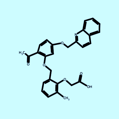 CC(=O)c1ccc(OCc2ccc3ccccc3n2)cc1OCc1cccc(C)c1OCC(=O)O